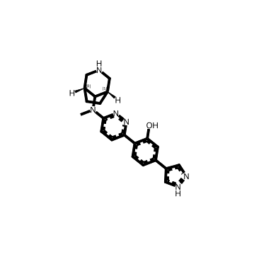 CN(c1ccc(-c2ccc(-c3cn[nH]c3)cc2O)nn1)C1[C@@H]2CC[C@H]1CNC2